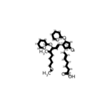 COCCCCC(C)[C@H](/C=C/[C@H]1[C@H](OC2CCCCO2)CC(=O)[C@@H]1CC=CCCCC(=O)O)OC1CCCCO1